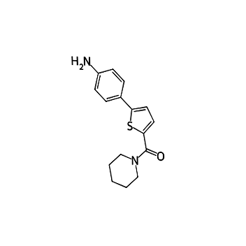 Nc1ccc(-c2ccc(C(=O)N3CCCCC3)s2)cc1